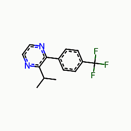 CC(C)c1nccnc1-c1ccc(C(F)(F)F)cc1